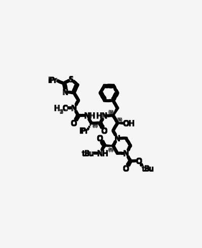 CC(C)c1nc(CN(C)C(=O)N[C@H](C(=O)N[C@@H](Cc2ccccc2)[C@@H](O)CN2CCN(C(=O)OC(C)(C)C)C[C@H]2C(=O)NC(C)(C)C)C(C)C)cs1